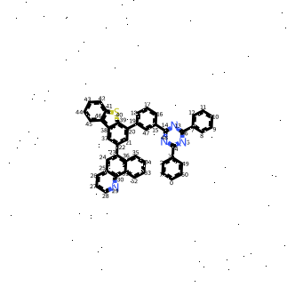 c1ccc(-c2nc(-c3ccccc3)nc(-c3cccc(-c4cc(-c5cc6cccnc6c6ccccc56)cc5c4sc4ccccc45)c3)n2)cc1